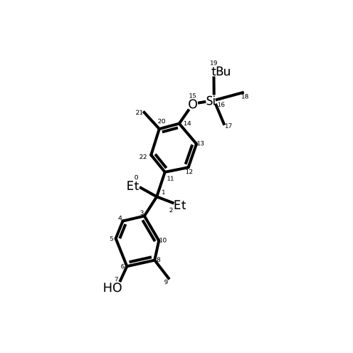 CCC(CC)(c1ccc(O)c(C)c1)c1ccc(O[Si](C)(C)C(C)(C)C)c(C)c1